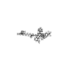 COc1ccccc1Oc1c(NS(=O)(=O)c2ccc(C(C)(C)C)cc2)nc(-c2ncccn2)nc1OCCOC(=O)CCCCCON(O)O